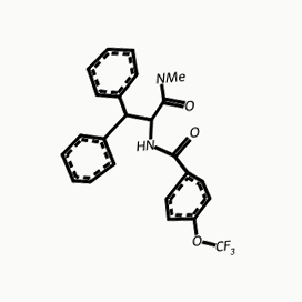 CNC(=O)C(NC(=O)c1ccc(OC(F)(F)F)cc1)C(c1ccccc1)c1ccccc1